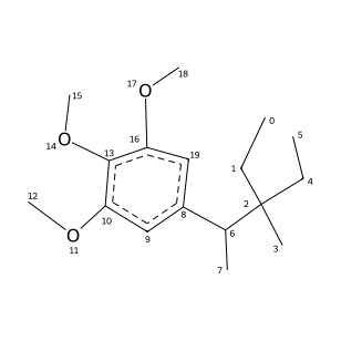 CCC(C)(CC)C(C)c1cc(OC)c(OC)c(OC)c1